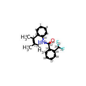 CC(C)=C(C)c1ccccc1NC(=O)c1ccccc1C(F)F